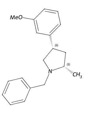 COc1cccc([C@@H]2C[C@H](C)N(Cc3ccccc3)C2)c1